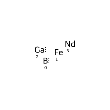 [B].[Fe].[Ga].[Nd]